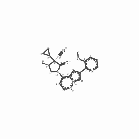 COc1cccnc1-c1cc2c(N3C[C@@H](C)[C@@](C#N)(C4CC4)C3=O)ccnn2c1